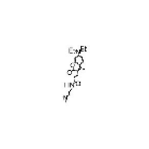 CCN(CC)c1ccc2c(C)c(C=CC(=O)NCCCN(C)C)c(=O)oc2c1